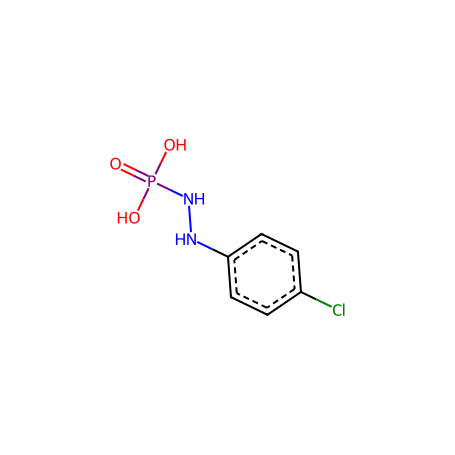 O=P(O)(O)NNc1ccc(Cl)cc1